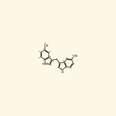 N#Cc1ccc2[nH]cc(Cc3c[nH]c4ccc(C#N)cc34)c2c1